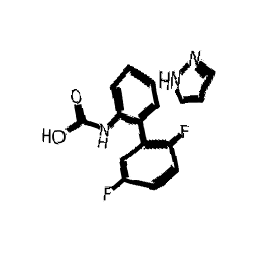 O=C(O)Nc1ccccc1-c1cc(F)ccc1F.c1cn[nH]c1